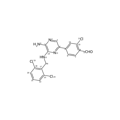 Nc1ncc(-c2ccc(C=O)c(Cl)c2)nc1NCc1c(Cl)cccc1Cl